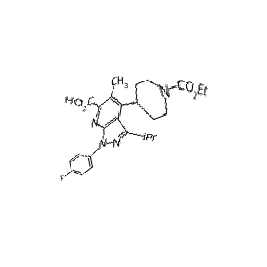 CCOC(=O)N1CCC(c2c(C)c(C(=O)O)nc3c2c(C(C)C)nn3-c2ccc(F)cc2)CC1